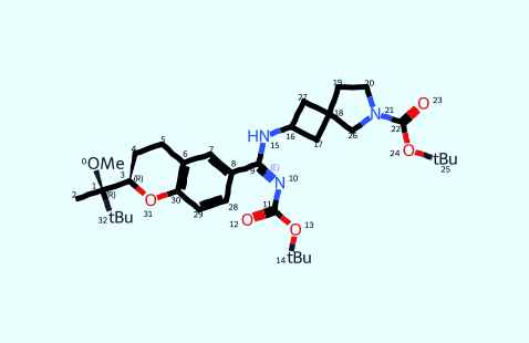 CO[C@@](C)([C@H]1CCc2cc(/C(=N\C(=O)OC(C)(C)C)NC3CC4(CCN(C(=O)OC(C)(C)C)C4)C3)ccc2O1)C(C)(C)C